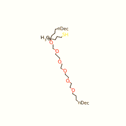 CCCCCCCCCCCCCOCCOCCOCCOCCOCCO[Si](C)(CCCS)CCCCCCCCCCCCC